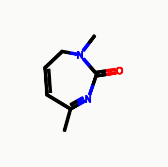 CC1=NC(=O)N(C)CC=C1